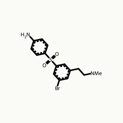 CNCCc1cc(Br)cc(S(=O)(=O)c2ccc(N)cc2)c1